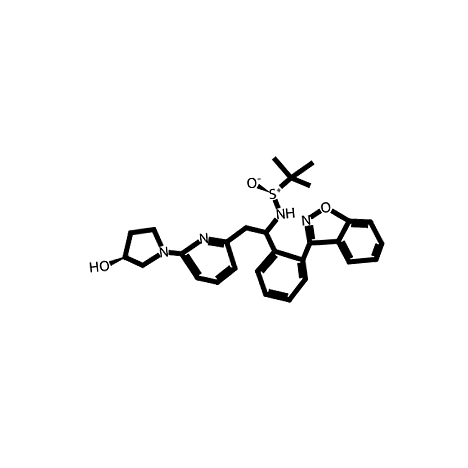 CC(C)(C)[S@+]([O-])NC(Cc1cccc(N2CC[C@H](O)C2)n1)c1ccccc1-c1noc2ccccc12